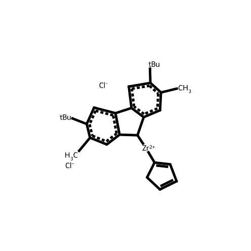 Cc1cc2c(cc1C(C)(C)C)-c1cc(C(C)(C)C)c(C)cc1[CH]2[Zr+2][C]1=CC=CC1.[Cl-].[Cl-]